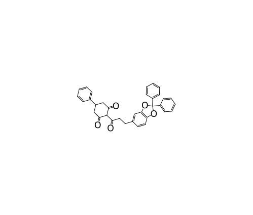 O=C(CCc1ccc2c(c1)OC(c1ccccc1)(c1ccccc1)O2)C1C(=O)CC(c2ccccc2)CC1=O